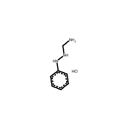 Cl.NCNNc1ccccc1